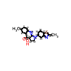 Cc1ccc2c(c1)C(=O)[C@]1(O)CCN(c3ccc4sc(C)nc4c3)C1=N2